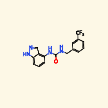 O=C(NCc1cccc(C(F)(F)F)c1)Nc1cccc2[nH]ncc12